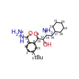 CC(C)(C)c1ccc(C(=O)NN)c(C(=O)C(O)[C@H](N)CC2CCCCC2)c1